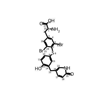 N[C@@H](Cc1cc(Br)c(Sc2ccc(O)c(Cc3ccc(=O)[nH]c3)c2)c(Br)c1)C(=O)O